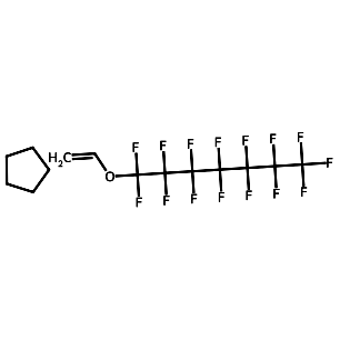 C1CCCC1.C=COC(F)(F)C(F)(F)C(F)(F)C(F)(F)C(F)(F)C(F)(F)C(F)(F)F